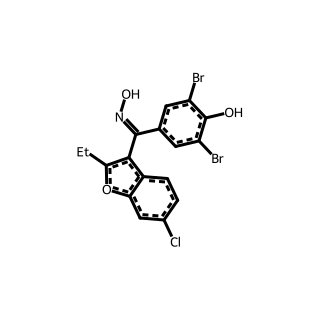 CCc1oc2cc(Cl)ccc2c1/C(=N/O)c1cc(Br)c(O)c(Br)c1